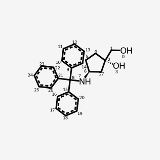 OC[C@]1(O)CC[C@H](NC(c2ccccc2)(c2ccccc2)c2ccccc2)C1